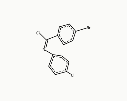 Cl/C(=N/c1ccc(Cl)cc1)c1ccc(Br)cc1